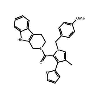 COc1ccc(Cn2cc(C)c(-c3ccco3)c2C(=O)N2CCc3c([nH]c4ccccc34)C2)cc1